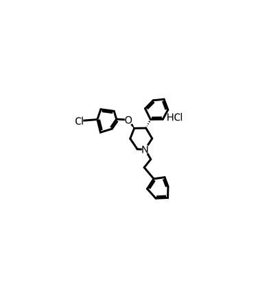 Cl.Clc1ccc(O[C@@H]2CCN(CCc3ccccc3)C[C@H]2c2ccccc2)cc1